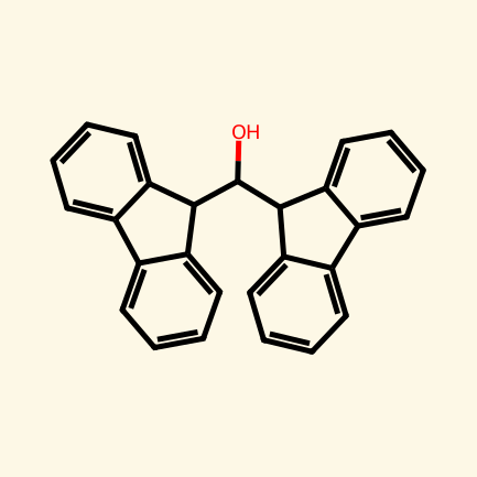 OC(C1c2ccccc2-c2ccccc21)C1c2ccccc2-c2ccccc21